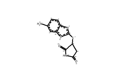 Nc1ccc2nc(SC3CC(=O)NC3=O)sc2c1